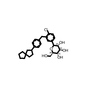 OC[C@H]1OC(c2ccc(Cl)c(Cc3ccc(C4CCC5(CCCC5)C4)cc3)c2)[C@H](O)[C@@H](O)[C@@H]1O